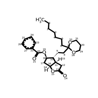 CCCCCCCC1(CC[C@@H]2[C@H]3CC(=O)O[C@H]3C[C@H]2OC(=O)c2ccccc2)OCCCO1